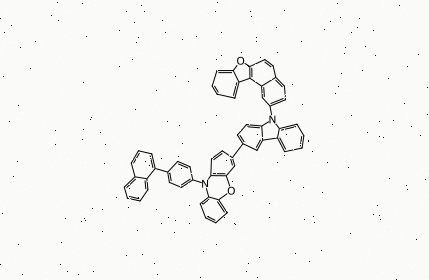 c1ccc2c(c1)Oc1cc(-c3ccc4c(c3)c3ccccc3n4-c3ccc4ccc5oc6ccccc6c5c4c3)ccc1N2c1ccc(-c2cccc3ccccc23)cc1